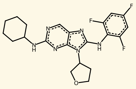 Fc1cc(F)c(Nc2nc3cnc(NC4CCCCC4)nc3n2C2CCOC2)c(F)c1